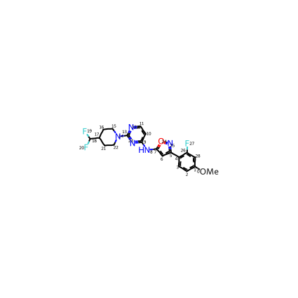 COc1ccc(-c2cc(Nc3ccnc(N4CCC(C(F)F)CC4)n3)on2)c(F)c1